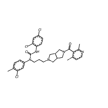 Cc1ccc(N(CCCN2CC3CN(C(=O)c4c(C)ccnc4C)CC3C2)C(=O)Nc2ccc(Cl)cc2Cl)cc1Cl